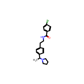 CC(c1ccc(CCNC(=O)c2ccc(Br)cc2)cc1)N1CCCC1